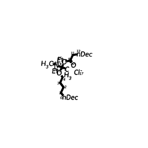 CCCCCCCCCCCCCCOC(C)(OC(=O)CCCCCCCCCCC)[N+](C)(CC)CC.[Cl-]